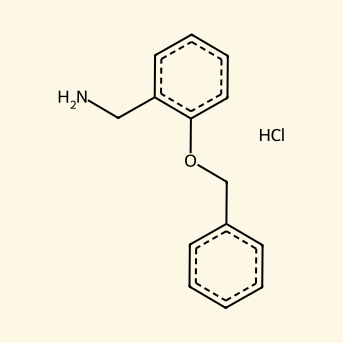 Cl.NCc1ccccc1OCc1ccccc1